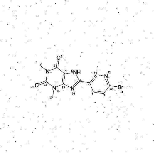 Cn1c(=O)c2[nH]c(-c3ccc(Br)nc3)nc2n(C)c1=O